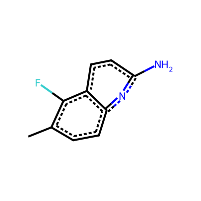 Cc1ccc2nc(N)ccc2c1F